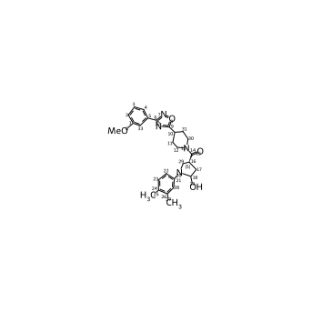 COc1cccc(-c2noc(C3CCN(C(=O)[C@H]4CC(O)N(c5ccc(C)c(C)c5)C4)CC3)n2)c1